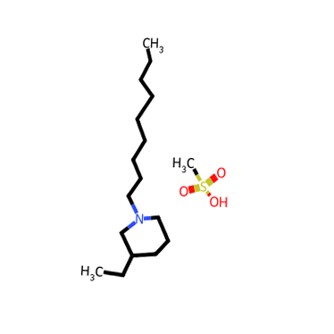 CCCCCCCCCN1CCCC(CC)C1.CS(=O)(=O)O